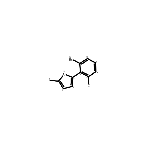 Cc1ccc(-c2c(Cl)cccc2Br)o1